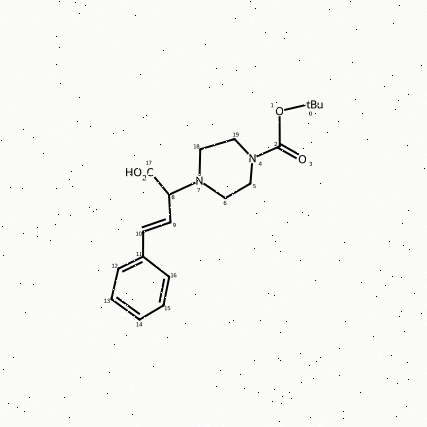 CC(C)(C)OC(=O)N1CCN(C(C=Cc2ccccc2)C(=O)O)CC1